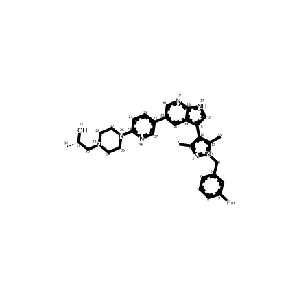 Cc1nn(Cc2cccc(F)c2)c(C)c1-c1c[nH]c2ncc(-c3ccc(N4CCN(C[C@H](C)O)CC4)nc3)cc12